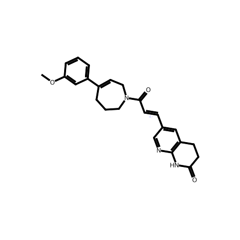 COc1cccc(C2=CCN(C(=O)/C=C/c3cnc4c(c3)CCC(=O)N4)CCC2)c1